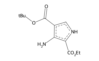 CCOC(=O)c1[nH]cc(C(=O)OC(C)(C)C)c1N